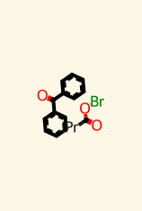 CC(C)C(=O)OBr.O=C(c1ccccc1)c1ccccc1